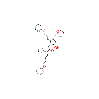 O=C(C[C@@H]1[C@@H](/C=C/COC2CCCCO2)[C@H](OC2CCCCO2)C[C@@H]1O)C(CCCCOC1CCCCO1)C1CCCC1